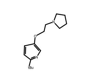 CC(C)(C)c1ccc(OCCN2CCCC2)cn1